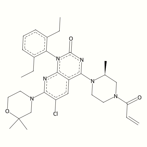 C=CC(=O)N1CCN(c2nc(=O)n(-c3c(CC)cccc3CC)c3nc(N4CCOC(C)(C)C4)c(Cl)cc23)[C@@H](C)C1